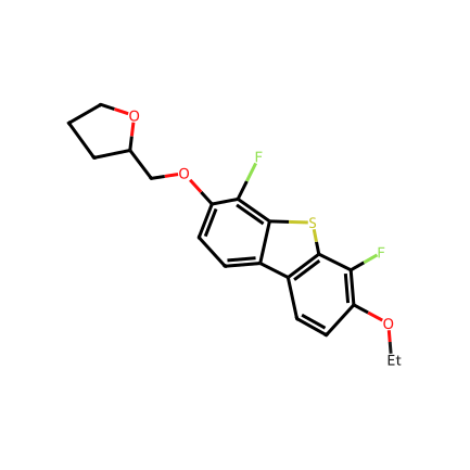 CCOc1ccc2c(sc3c(F)c(OCC4CCCO4)ccc32)c1F